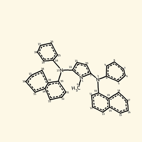 Cn1c(N(c2ccccc2)c2cccc3ccccc23)ccc1N(c1ccccc1)c1cccc2ccccc12